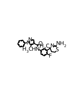 Cc1c(C(=O)Nc2ccc(F)c(C3(C)CCSC(N)=N3)c2)cnn1-c1ccccc1